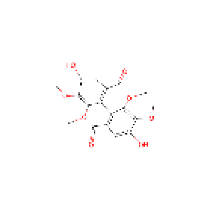 COc1c(O)cc(C=O)c(-c2c(C=O)cc(O)c(OC)c2OC)c1OC